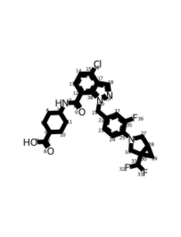 O=C(NC1CCC(C(=O)O)CC1)c1ccc(Cl)c2cnn(Cc3ccc(N4CC5CC5(C(F)F)C4)c(F)c3)c12